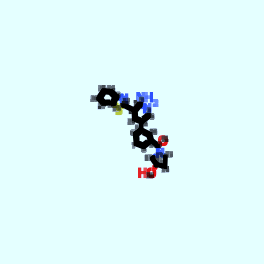 Nc1ncc(-c2cccc(C(=O)N3CCC(O)C3)c2)cc1-c1nc2ccccc2s1